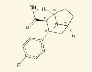 CN1[C@H]2CC[C@@H]1[C@H](C(N)=O)[C@@H](c1ccc(F)cc1)C2